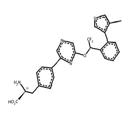 Cc1cscc1-c1ccccc1C(Oc1cncc(-c2ccc(C[C@H](N)C(=O)O)cc2)n1)C(F)(F)F